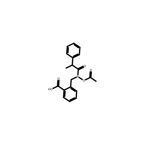 CC(=O)ON(Cc1ccccc1C(=O)O)C(=O)C(C)c1ccccc1